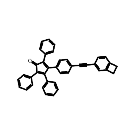 O=C1C(c2ccccc2)=C(c2ccccc2)C(c2ccc(C#Cc3ccc4c(c3)CC4)cc2)=C1c1ccccc1